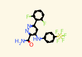 NC(=O)c1nnc(-c2c(F)cccc2F)cc1Nc1ccc(S(F)(F)(F)(F)F)cc1